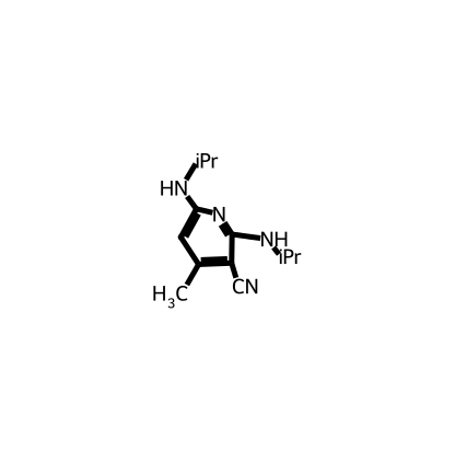 Cc1cc(NC(C)C)nc(NC(C)C)c1C#N